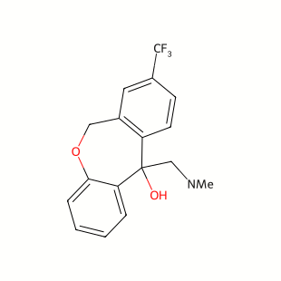 CNCC1(O)c2ccc(C(F)(F)F)cc2COc2ccccc21